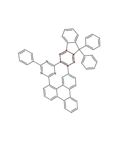 c1ccc(-c2nc(-c3ccccc3)nc(-c3cccc4c5ccccc5c5ccc(-c6ccc7c(c6)C(c6ccccc6)(c6ccccc6)c6ccccc6-7)cc5c34)n2)cc1